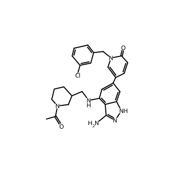 CC(=O)N1CCCC(CNc2cc(-c3ccc(=O)n(Cc4cccc(Cl)c4)c3)cc3[nH]nc(N)c23)C1